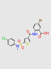 CN(c1ccc(Cl)cc1)S(=O)(=O)c1cc(C(=O)Nc2ccc(Br)cc2C(=O)O)cs1